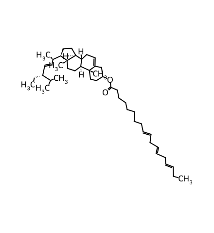 CCC=CCC=CCC=CCCCCCCCC(=O)OC1CC[C@@]2(C)C(=CC[C@H]3[C@@H]4CC[C@H]([C@H](C)C=C[C@@H](CC)C(C)C)[C@@]4(C)CC[C@@H]32)C1